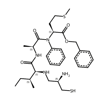 CC[C@H](C)[C@H](NC[C@@H](N)CS)C(=O)N[C@@H](C)C(=O)N(c1ccccc1)[C@@H](CCSC)C(=O)OCc1ccccc1